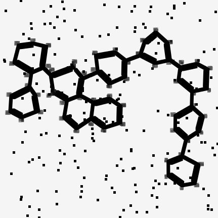 c1ccc(-c2ccc(-c3cccc(-c4cccc(-c5ccc(-c6nc(-c7ccccc7-c7ccccc7)nc7ccc8ccccc8c67)cc5)c4)c3)cc2)cc1